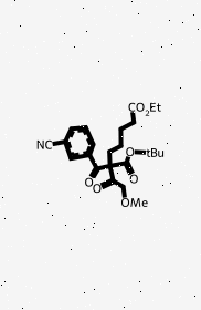 CCOC(=O)CCCCC(C(=O)COC)(C(=O)OC(C)(C)C)C(=O)c1cccc(C#N)c1